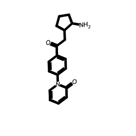 NC1CCCC1CC(=O)c1ccc(-n2ccccc2=O)cc1